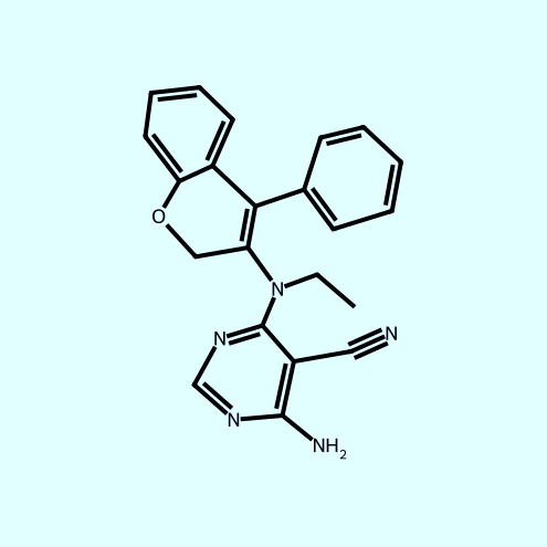 CCN(C1=C(c2ccccc2)c2ccccc2OC1)c1ncnc(N)c1C#N